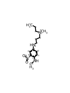 CCCN(C)CCCNc1ccc(NC)c([N+](=O)[O-])c1